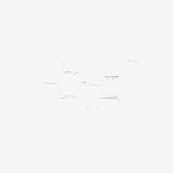 COc1ccc([SeH])c(-c2cc(OC)c(OC)c(OC)c2)c1